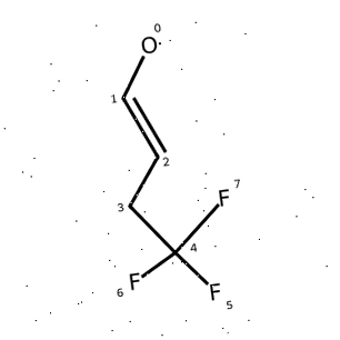 [O]C=CCC(F)(F)F